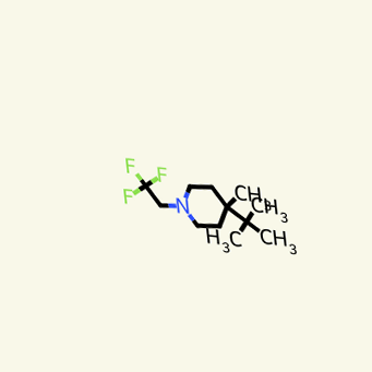 CC(C)(C)C1(C)CCN(CC(F)(F)F)CC1